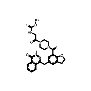 CC(C)(C)OC(=O)NCC(=O)N1CCN(C(=O)c2cc(Cc3n[nH]c(=O)c4ccccc34)cc3c2OCC3)CC1